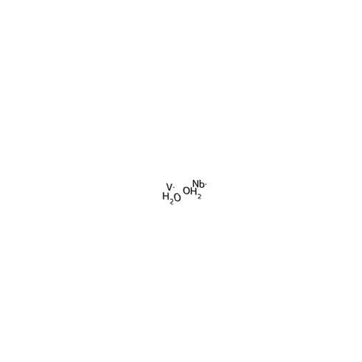 O.O.[Nb].[V]